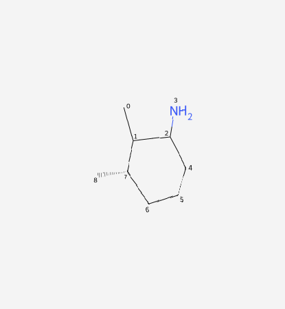 CC1C(N)CCC[C@@H]1C